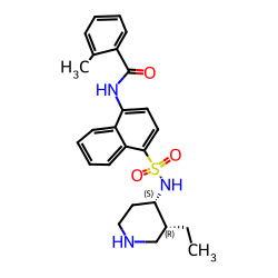 CC[C@@H]1CNCC[C@@H]1NS(=O)(=O)c1ccc(NC(=O)c2ccccc2C)c2ccccc12